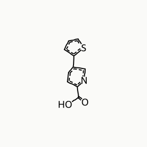 O=C(O)c1ccc(-c2cccs2)cn1